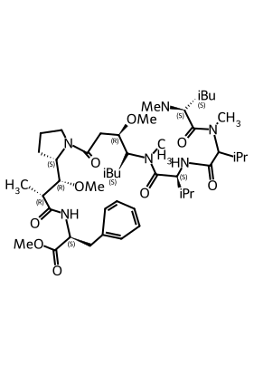 CC[C@H](C)C([C@@H](CC(=O)N1CCC[C@H]1[C@H](OC)[C@@H](C)C(=O)N[C@@H](Cc1ccccc1)C(=O)OC)OC)N(C)C(=O)[C@@H](NC(=O)C(C(C)C)N(C)C(=O)[C@@H](NC)[C@@H](C)CC)C(C)C